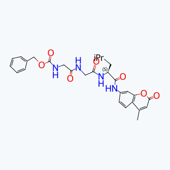 Cc1cc(=O)oc2cc(NC(=O)[C@H](CC(C)C)NC(=O)CNC(=O)CNC(=O)OCc3ccccc3)ccc12